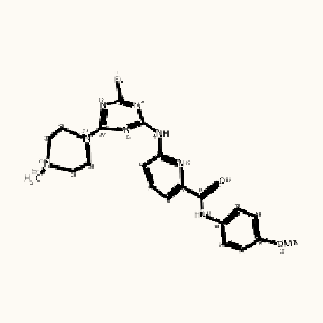 CCc1nc(Nc2cccc(C(=O)Nc3ccc(OC)cc3)n2)nc(N2CCN(C)CC2)n1